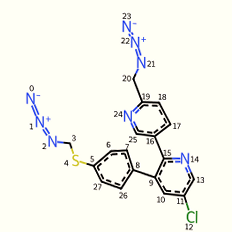 [N-]=[N+]=NCSc1ccc(-c2cc(Cl)cnc2-c2ccc(CN=[N+]=[N-])nc2)cc1